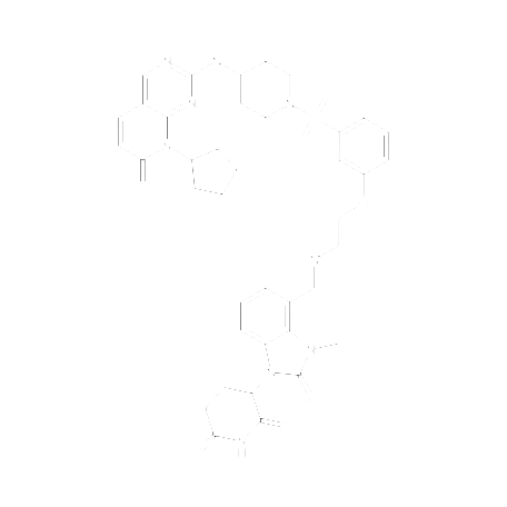 Cn1c(=O)n(C2CCC(=O)NC2=O)c2cccc(CNCCOc3cccc(S(=O)(=O)N4CCC(Nc5ncc6ccc(=O)n(C7CCCC7)c6n5)CC4)c3)c21